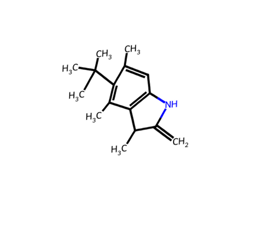 C=C1Nc2cc(C)c(C(C)(C)C)c(C)c2C1C